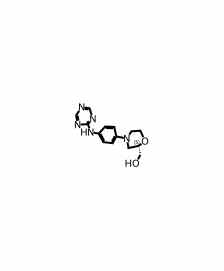 OC[C@@H]1CN(c2ccc(Nc3ncncn3)cc2)CCO1